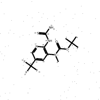 CN(C(=O)OC(C)(C)C)c1cc(C(F)(F)F)cnc1NC(N)=S